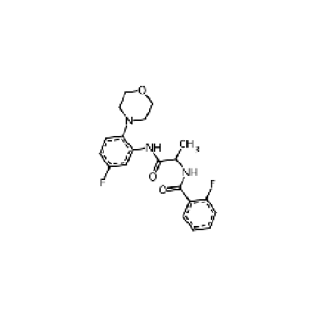 CC(NC(=O)c1ccccc1F)C(=O)Nc1cc(F)ccc1N1CCOCC1